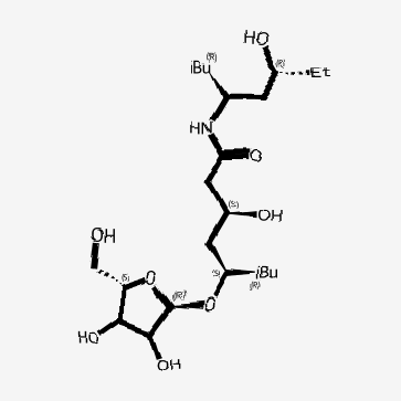 CC[C@@H](O)CC(NC(=O)C[C@@H](O)C[C@H](O[C@@H]1O[C@@H](CO)C(O)C1O)[C@H](C)CC)[C@H](C)CC